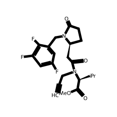 C#CCN(C(=O)C[C@@H]1CCC(=O)N1Cc1cc(F)cc(F)c1F)[C@H](C(=O)OC)C(C)C